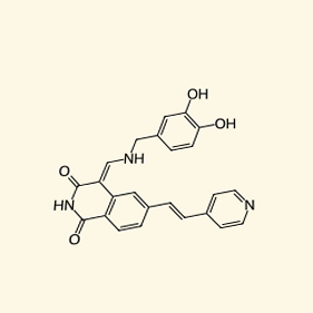 O=C1NC(=O)c2ccc(/C=C/c3ccncc3)cc2/C1=C\NCc1ccc(O)c(O)c1